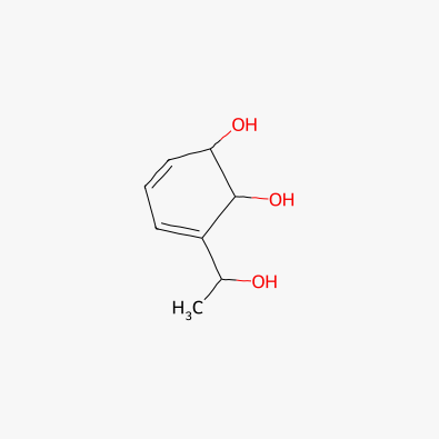 CC(O)C1=CC=CC(O)C1O